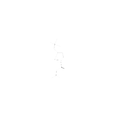 CC(C)CC(=O)N1CCC(CC(C)(C)C)C1